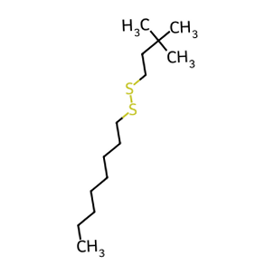 CCCCCCCCSSCCC(C)(C)C